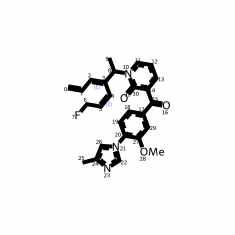 C=C/C=C(\C=C/CF)C(C)n1cccc(C(=O)c2ccc(-n3cnc(C)c3)c(OC)c2)c1=O